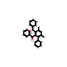 Cc1cc(C)c(-c2ccccc2)c(C(=O)c2ccccc2)c1C(=O)c1ccccc1